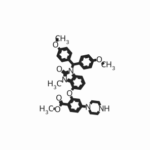 COC(=O)c1ccc(N2CCNCC2)cc1Oc1cccc2c1n(C)c(=O)n2C(c1ccc(OC)cc1)c1ccc(OC)cc1